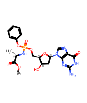 CC(C)OC(=O)[C@H](C)NP(=O)(OC[C@H]1O[C@@H](n2cnc3c(=O)[nH]c(N)nc32)C[C@H]1O)Oc1ccccc1